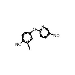 N#Cc1ccc(Oc2ccc(N=O)cn2)cc1I